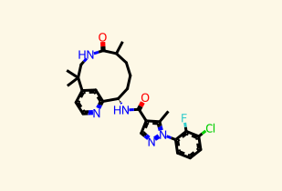 Cc1c(C(=O)N[C@H]2CCCC(C)C(=O)NCC(C)(C)c3ccnc2c3)cnn1-c1cccc(Cl)c1F